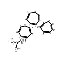 C1=CC=CCC=C1.C1=CC=CCC=C1.C1=CC=CCC=C1.OB(O)O